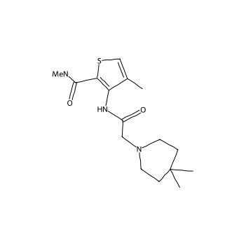 CNC(=O)c1scc(C)c1NC(=O)CN1CCC(C)(C)CC1